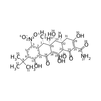 C[C@H]1c2c([N+](=O)[O-])cc(C(C)(C)C)c(O)c2C(=O)C2=C(O)[C@]3(O)C(=O)C(C(N)=O)=C(O)C[C@@H]3[C@@H](O)[C@@H]21